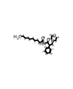 CCCCCCCCCC(=O)NC(=O)C(CN1CCOCC1)c1ccccc1